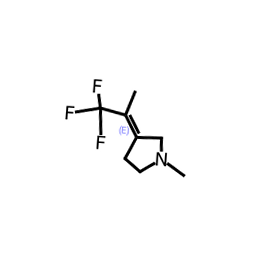 C/C(=C1/CCN(C)C1)C(F)(F)F